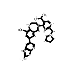 Cc1cc(-c2cnc3sc(N)nc3c2)cc2c1OCCN(c1nc(CN3CCCC3)ncc1C(C)C)C2